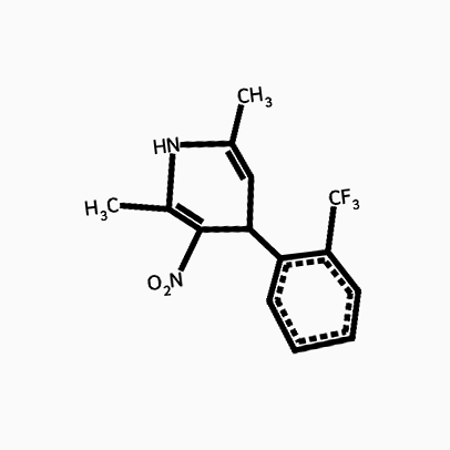 CC1=CC(c2ccccc2C(F)(F)F)C([N+](=O)[O-])=C(C)N1